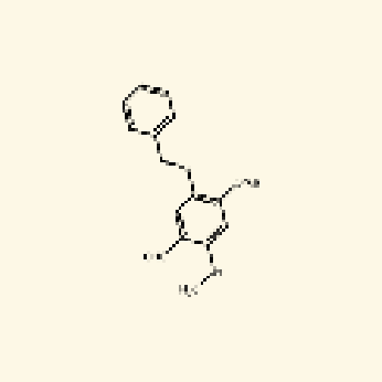 COc1cc([Se]C)c(C=O)cc1OCc1ccccc1